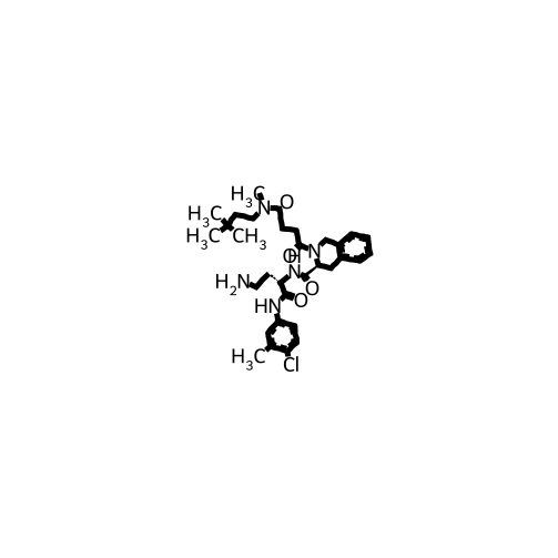 Cc1cc(NC(=O)[C@H](CCN)NC(=O)[C@@H]2Cc3ccccc3CN2C(=O)CCC(=O)N(C)CCC(C)(C)C)ccc1Cl